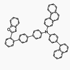 c1ccc(-c2cc3ccccc3o2)c(-c2ccc(-c3ccc(N(c4ccc(-c5cccc6ccccc56)cc4)c4ccc5c(ccc6ccccc65)c4)cc3)cc2)c1